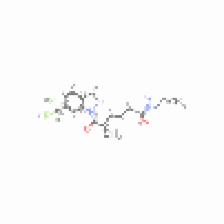 CCCNC(=O)CCCC(C)C(=O)N1CCc2ccc(C(F)(F)F)cc21